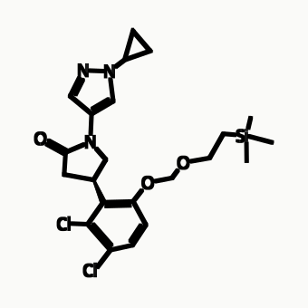 C[Si](C)(C)CCOCOc1ccc(Cl)c(Cl)c1[C@H]1CC(=O)N(c2cnn(C3CC3)c2)C1